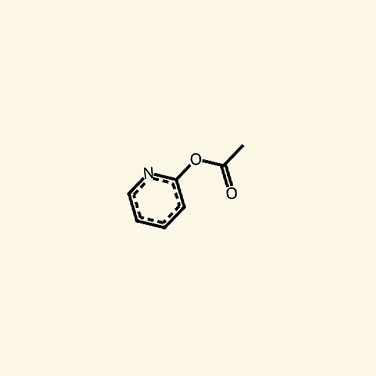 CC(=O)Oc1ccccn1